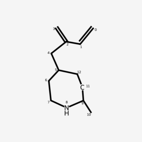 C=CC(=C)CC1CCNC(C)CC1